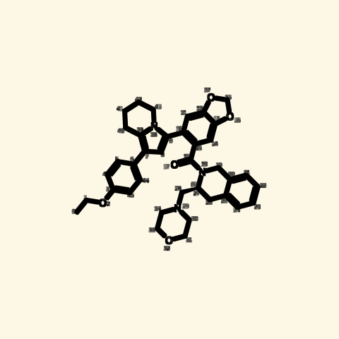 CCOc1ccc(-c2cc(-c3cc4c(cc3C(=O)N3Cc5ccccc5C[C@H]3CN3CCOCC3)OCO4)n3c2CCCC3)cc1